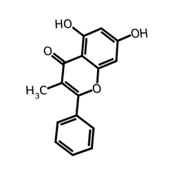 Cc1c(-c2ccccc2)oc2cc(O)cc(O)c2c1=O